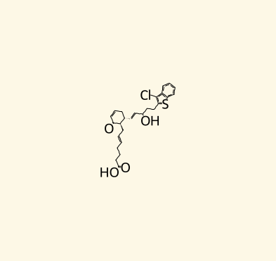 O=C(O)CCCC=CC[C@H]1C(=O)C=CC[C@@H]1C=CC(O)CCc1sc2ccccc2c1Cl